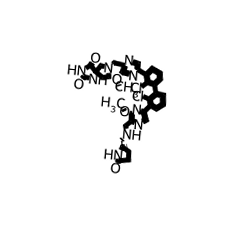 COc1nc(-c2cccc(-c3cccc(-c4cnc(CN5CCC6(C5)NC(=O)NC6=O)c(OC)n4)c3Cl)c2Cl)cnc1CNC[C@@H]1CCC(=O)N1